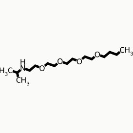 CCCCOCCOCCOCCOCCNC(C)C